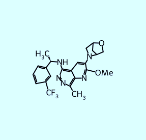 COc1nc2c(C)nnc(N[C@H](C)c3cccc(C(F)(F)F)c3)c2cc1N1CC2CC1CO2